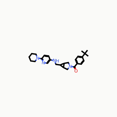 CC(C)(C)c1ccc(C(=O)N2CC3C(CNc4ccc(N5CCCCC5)nc4)C3C2)cc1